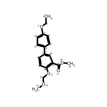 CCOc1ccc(-c2ccc(OCOC)c(C(=O)OC)c2)cc1